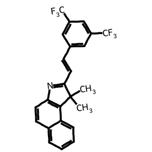 CC1(C)C(/C=C/c2cc(C(F)(F)F)cc(C(F)(F)F)c2)=Nc2ccc3ccccc3c21